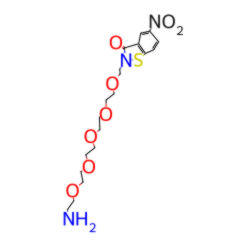 NCCOCCOCCOCCOCCOCCn1sc2ccc([N+](=O)[O-])cc2c1=O